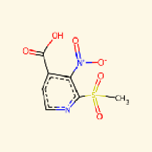 CS(=O)(=O)c1nccc(C(=O)O)c1[N+](=O)[O-]